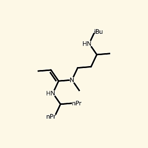 C/C=C(\NC(CCC)CCC)N(C)CCC(C)NC(C)CC